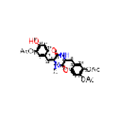 CC(=O)Oc1c#cc(/C=c2/[nH]c(=O)/c(=C\c3ccc(O)c(OC(C)=O)c3)n(C)c2=O)cc1OC(C)=O